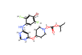 CC(C)OC(=O)ON1CCC(Oc2cc(Nc3cc(F)c(Br)cc3F)ncn2)CC1